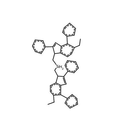 CCc1ccc2c(c1-c1ccccc1)C=C(c1ccccc1)C2C[SiH2]CC1C(c2ccccc2)=Cc2c1ccc(CC)c2-c1ccccc1